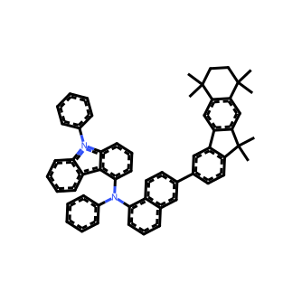 CC1(C)CCC(C)(C)c2cc3c(cc21)-c1cc(-c2ccc4c(N(c5ccccc5)c5cccc6c5c5ccccc5n6-c5ccccc5)cccc4c2)ccc1C3(C)C